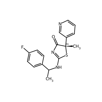 CC(NC1=NC(=O)[C@](C)(c2cccnc2)S1)c1ccc(F)cc1